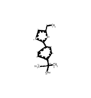 CCc1csc(-c2ccc(C(C)(C)O)cc2)n1